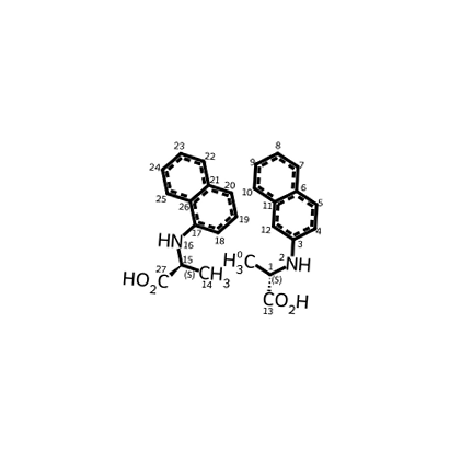 C[C@H](Nc1ccc2ccccc2c1)C(=O)O.C[C@H](Nc1cccc2ccccc12)C(=O)O